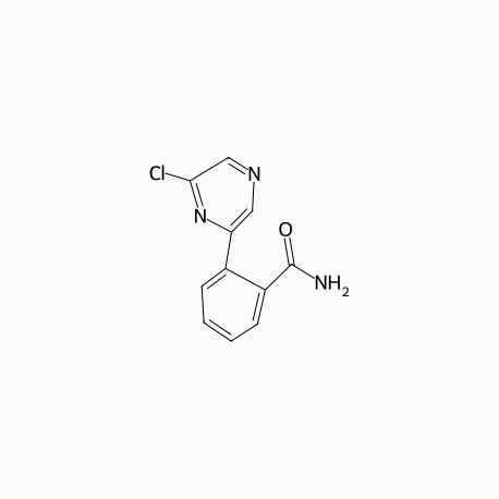 NC(=O)c1ccccc1-c1cncc(Cl)n1